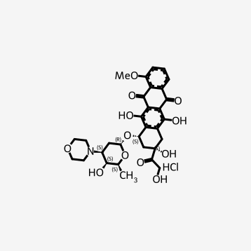 COc1cccc2c1C(=O)c1c(O)c3c(c(O)c1C2=O)C[C@@](O)(C(=O)CO)C[C@@H]3O[C@H]1C[C@H](N2CCOCC2)[C@H](O)[C@H](C)O1.Cl